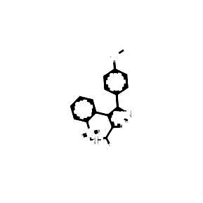 COc1ccc(-c2noc(C(F)F)c2-c2ccccc2S(N)(=O)=O)cc1